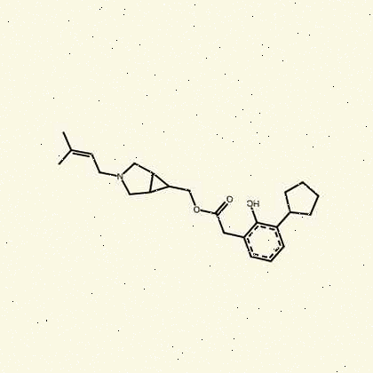 CC(C)=CCN1CC2C(COC(=O)Cc3cccc(C4CCCC4)c3O)C2C1